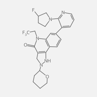 O=c1c2c(c3ccc(-c4cccnc4N4CCC(F)C4)cc3n1CC(F)(F)F)NN(C1CCCCO1)C2